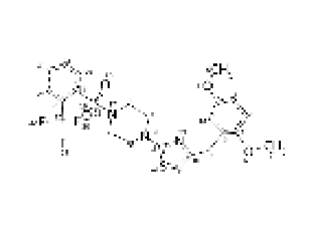 COc1ccc(OC)c(Cc2csc(N3CCN(S(=O)(=O)c4ccccc4C(F)(F)F)CC3)n2)c1